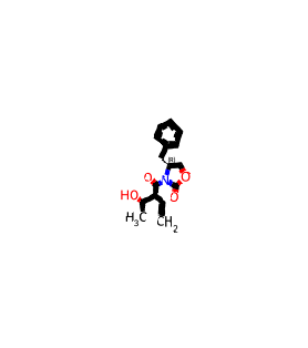 C=CC(C(=O)N1C(=O)OC[C@H]1Cc1ccccc1)C(C)O